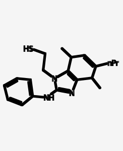 CCCC1=CC(C)c2c(nc(Nc3ccccc3)n2CCS)C1C